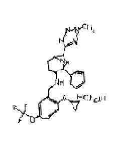 Cl.Cl.Cn1nnc(C2CC3(c4ccccc4)NC2CCC3NCc2cc(OC(F)(F)F)ccc2OC2CC2)n1